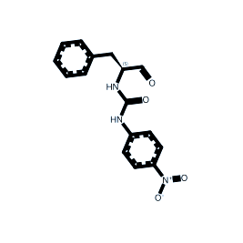 O=[C][C@H](Cc1ccccc1)NC(=O)Nc1ccc([N+](=O)[O-])cc1